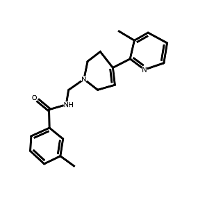 Cc1cccc(C(=O)NCN2CC=C(c3ncccc3C)CC2)c1